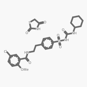 COc1ccc(Cl)cc1C(=O)NCCc1ccc(S(=O)(=O)NC(=O)NC2CCCCC2)cc1.O=C1CSC(=O)N1